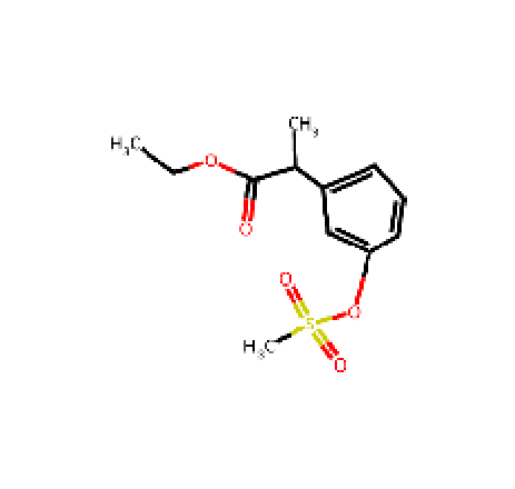 CCOC(=O)C(C)c1cccc(OS(C)(=O)=O)c1